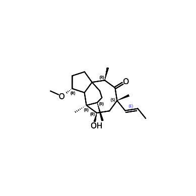 C/C=C/[C@]1(C)C[C@@H](O)[C@@]2(C)C3[C@H](OC)CCC3(CC[C@H]2C)[C@@H](C)C1=O